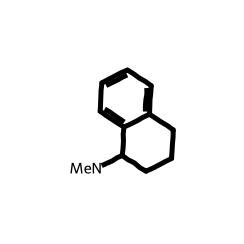 CNC1CCCc2ccccc21